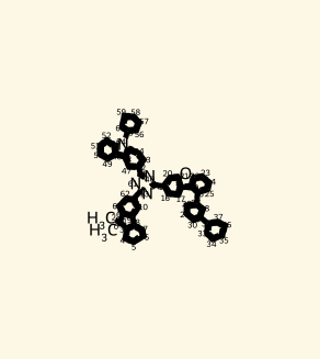 CC1(C)c2ccccc2-c2cc(-c3nc(-c4ccc5c(c4)oc4cccc(-c6cccc(-c7ccccc7)c6)c45)nc(-c4ccc5c(c4)c4ccccc4n5-c4ccccc4)n3)ccc21